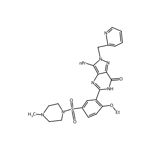 CCCc1c2nc(-c3cc(S(=O)(=O)N4CCN(C)CC4)ccc3OCC)[nH]c(=O)c2nn1Cc1ccccn1